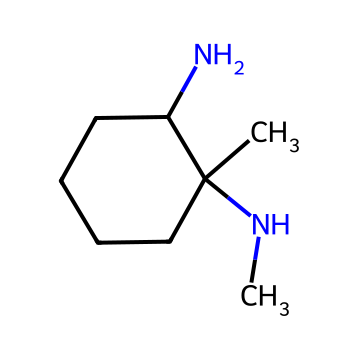 CNC1(C)CCCCC1N